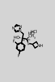 C[C@@H](SC1CNC1)[C@](O)(Cn1cncn1)c1ccc(F)cc1F.Cl.Cl